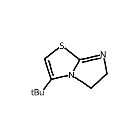 CC(C)(C)C1=CSC2=NCCN12